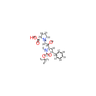 CN(C(=O)OC(C)(C)C)[C@H](CCc1ccccc1)C(=O)CN1CCC[C@H]1C(=O)O